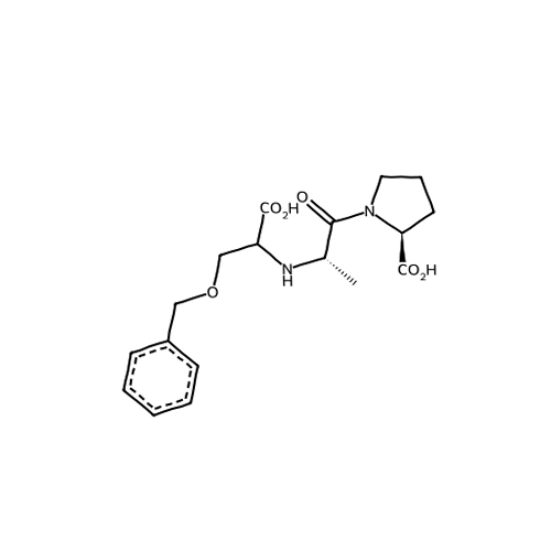 C[C@H](NC(COCc1ccccc1)C(=O)O)C(=O)N1CCC[C@H]1C(=O)O